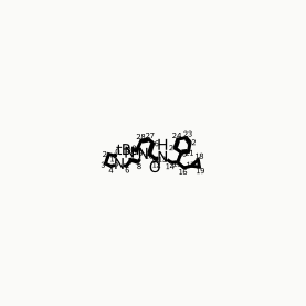 CC(C)(C)C1[CH]CCN1Cc1cn2c(C(=O)NCC(CC3CC3)c3ccccc3)cccc2n1